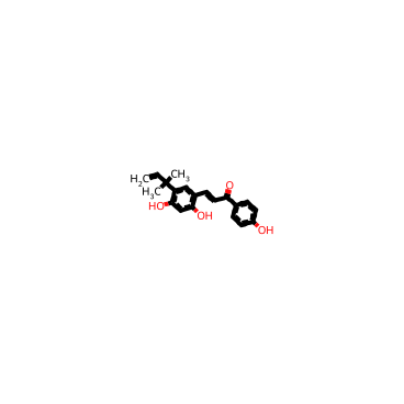 C=CC(C)(C)c1cc(/C=C/C(=O)c2ccc(O)cc2)c(O)cc1O